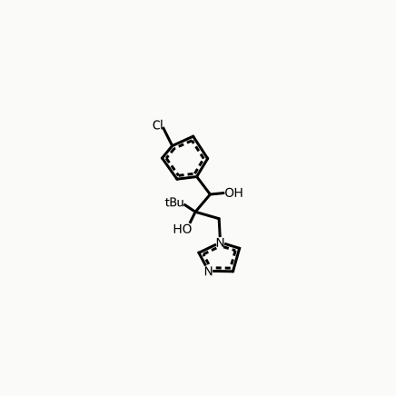 CC(C)(C)C(O)(Cn1ccnc1)C(O)c1ccc(Cl)cc1